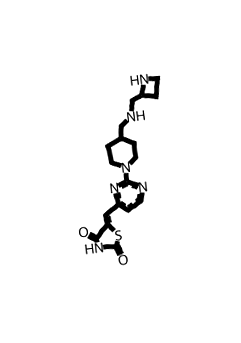 O=C1NC(=O)/C(=C/c2ccnc(N3CCC(CNCC4CCN4)CC3)n2)S1